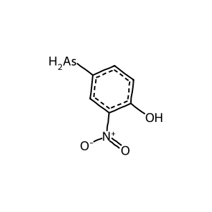 O=[N+]([O-])c1cc([AsH2])ccc1O